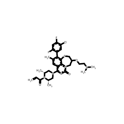 C=CC(=O)N1[C@H](C)CN(c2nc(=O)n3c4c(c(-c5cc(Cl)c(F)cc5F)c(C)cc24)SCC(OCCN(C)C)C3)C[C@@H]1C